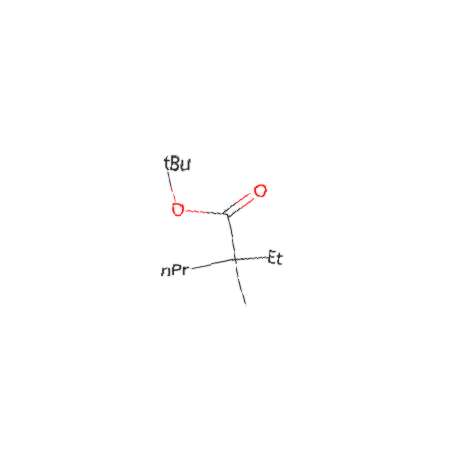 CCCC(C)(CC)C(=O)OC(C)(C)C